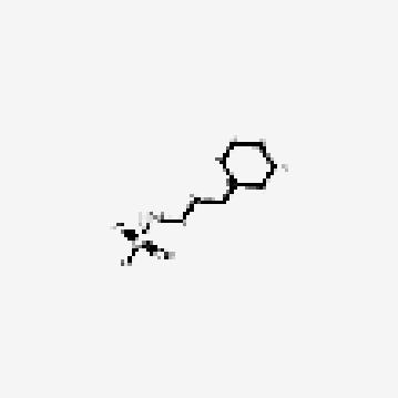 CS(=O)(=O)NCCCC1CCCCC1